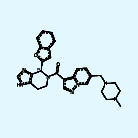 CN1CCN(Cc2ccc3c(C(=O)N4CCc5[nH]cnc5[C@H]4c4cc5ccccc5o4)cnn3c2)CC1